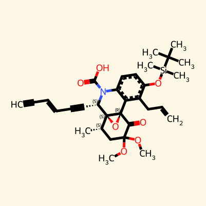 C#CC=CC#C[C@@H]1N(C(=O)O)c2ccc(O[Si](C)(C)C(C)(C)C)c(CC=C)c2[C@@]23O[C@@]12[C@@H](C)CC(OC)(OC)C3=O